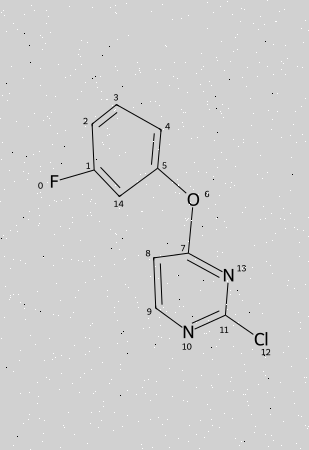 Fc1cccc(Oc2ccnc(Cl)n2)c1